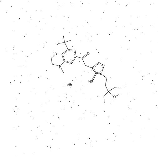 Br.CCC(CC)(CCn1ccn(CC(=O)c2cc3c(c(C(C)(C)C)c2)OCCN3C)c1=N)OC